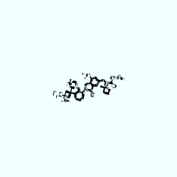 Cn1cnnc1C1(c2cccc(N3Cc4c(cc(CN(C(=O)OC(C)(C)C)C5(C)CCC5)cc4C(F)(F)F)C3=O)c2)CC(O)(C(F)(F)F)C1